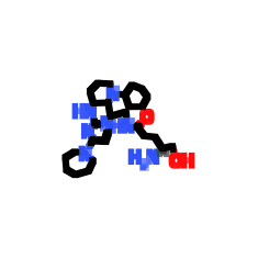 N[C@@H](CO)CCC(=O)NCCC1C(Nc2nccc(N3CCCCCC3)n2)CCCN1C1CCCCC1